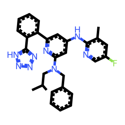 Cc1cc(F)cnc1Nc1cc(-c2ccccc2-c2nnn[nH]2)nc(N(Cc2ccccc2)CC(C)C)c1